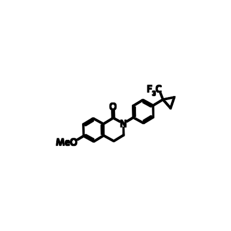 COc1ccc2c(c1)CCN(c1ccc(C3(C(F)(F)F)CC3)cc1)C2=O